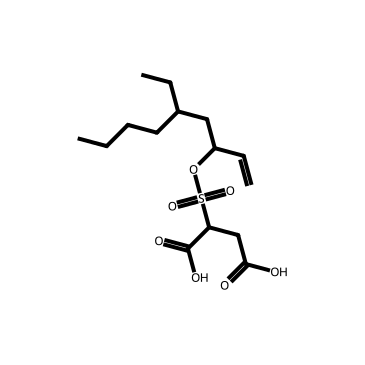 C=CC(CC(CC)CCCC)OS(=O)(=O)C(CC(=O)O)C(=O)O